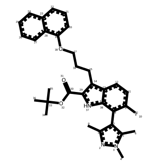 Cc1nn(C)c(C)c1-c1c(F)ccc2c(CCCOc3cccc4ccccc34)c(C(=O)OC(C)(C)C)[nH]c12